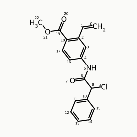 C=Cc1cc(NC(=O)C(Cl)c2ccccc2)ccc1C(=O)OC